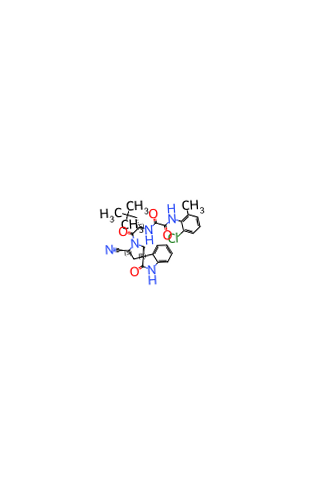 Cc1cccc(Cl)c1NC(=O)C(=O)N[C@@H](CC(C)(C)C)C(=O)N1C[C@]2(C[C@H]1C#N)C(=O)Nc1ccccc12